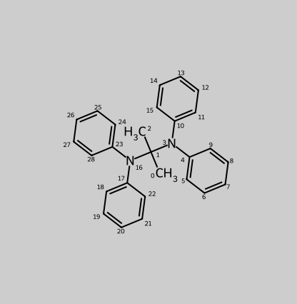 CC(C)(N(c1ccccc1)c1ccccc1)N(c1ccccc1)c1ccccc1